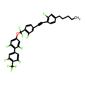 CCCCCc1ccc(C#Cc2ccc(C(F)(F)Oc3cc(F)c(-c4cc(F)c(C(F)(F)F)c(F)c4)c(F)c3)c(F)c2)c(F)c1